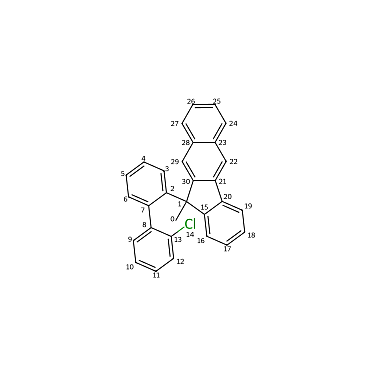 CC1(c2ccccc2-c2ccccc2Cl)c2ccccc2-c2cc3ccccc3cc21